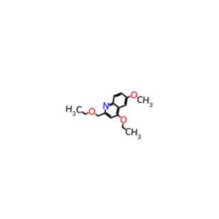 CCOCc1cc(OCC)c2cc(OC)ccc2n1